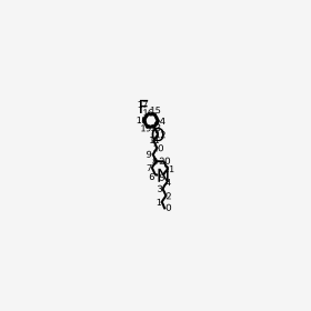 CCCCCN1CCC(CCCOc2ccc(F)cc2)CC1